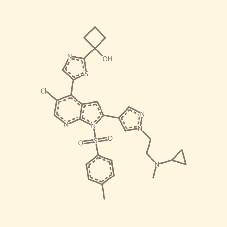 Cc1ccc(S(=O)(=O)n2c(-c3cnn(CCN(C)C4CC4)c3)cc3c(-c4cnc(C5(O)CCC5)s4)c(Cl)cnc32)cc1